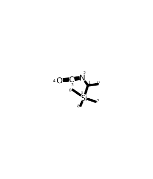 CC(N=C=O)[Si](C)(C)C